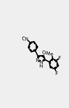 [C-]#[N+]c1ccc(-c2cc(-c3cc(F)cc(F)c3OC)[nH]n2)cc1